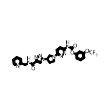 O=C(Nc1ccc(N2CCC(n3cc(C(=O)NCc4ccccn4)nn3)C2)nn1)Oc1cccc(OC(F)(F)F)c1